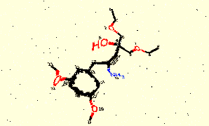 CCOCC(O)(COCC)C(N)Cc1cc(OC)cc(OC)c1